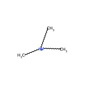 CCCCCCCCCCCCCCCCCCC1N(CCCCCCCCCCCCCCC)C=CN1CCCCCCCCCCCCCCCC